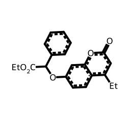 CCOC(=O)C(Oc1ccc2c(CC)cc(=O)oc2c1)c1ccccc1